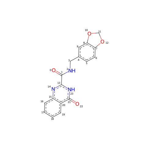 O=C(NCc1ccc2c(c1)OCO2)c1nc2ccccc2c(=O)[nH]1